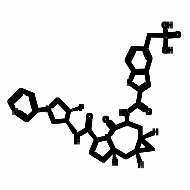 O=C(N[C@H]1C[C@@H]2C[C@@H]2C[C@H]2CC[C@@H](C(=O)N[C@H]3CN(c4cccnc4)C[C@@H]3F)N2C1=O)c1cc2cc(CP(=O)(O)O)ccc2s1